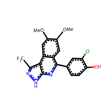 COc1cc2c(-c3ccc(O)c(Cl)c3)nc3[nH]nc(C(F)(F)F)c3c2cc1OC